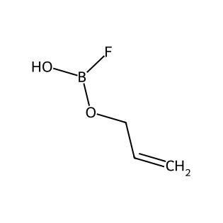 C=CCOB(O)F